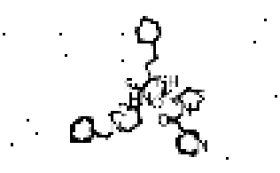 O=C(N[C@H](CCC1CCCCC1)C(=S)NC1CCN(Cc2ccccc2)CC1)[C@@H]1CSCN1C(=O)c1cccnc1